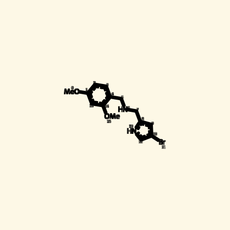 COc1ccc(CNCc2cc(Br)c[nH]2)c(OC)c1